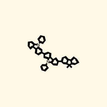 CC1(C)c2ccccc2-c2ccc(-c3ccc4c(c3)c3ccc(-c5ccc6c7ccccc7n(-c7ccccc7)c6c5)cc3n4-c3ccccc3)cc21